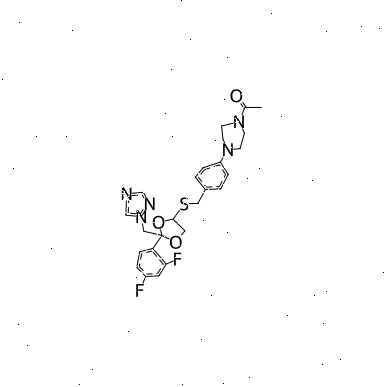 CC(=O)N1CCN(c2ccc(CSC3COC(Cn4cncn4)(c4ccc(F)cc4F)O3)cc2)CC1